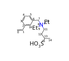 C=Cc1cccc(C[N+](CC)(CC)CCC(C)S(=O)(=O)O)c1